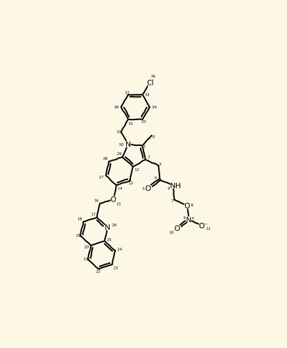 Cc1c(CC(=O)NCO[N+](=O)[O-])c2cc(OCc3ccc4ccccc4n3)ccc2n1Cc1ccc(Cl)cc1